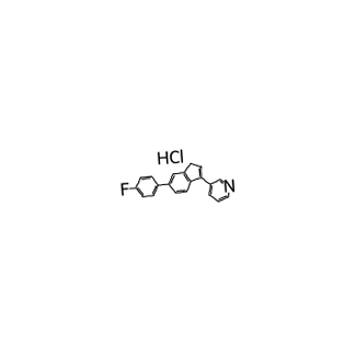 Cl.Fc1ccc(-c2ccc3c(c2)CC=C3c2cccnc2)cc1